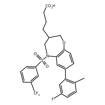 Cc1ccc(F)cc1-c1ccc2c(c1)N(S(=O)(=O)c1cccc(C(F)(F)F)c1)CC(CCCC(=O)O)CO2